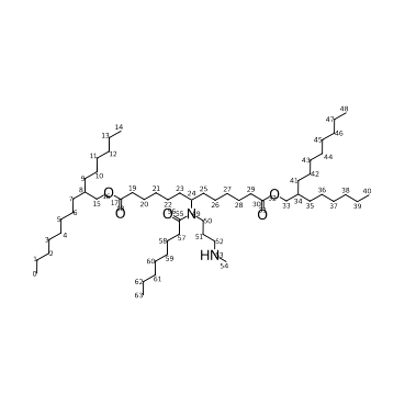 CCCCCCCCC(CCCCCC)COC(=O)CCCCCC(CCCCCC(=O)OCC(CCCCCC)CCCCCCCC)N(CCCNC)C(=O)CCCCCCC